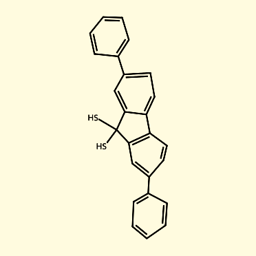 SC1(S)c2cc(-c3ccccc3)ccc2-c2ccc(-c3ccccc3)cc21